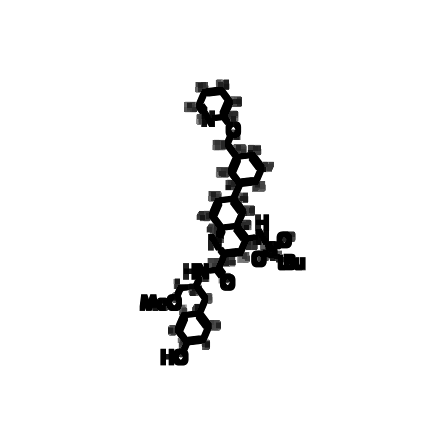 COC[C@H](Cc1ccc(O)cc1)NC(=O)c1cc(NS(=O)(=O)C(C)(C)C)c2cc(-c3cccc(COc4ccccn4)c3)ccc2n1